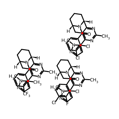 Cc1nc(-c2ccnn2C)c2c(n1)[C@H]1CCC[C@@H](C2)N1C(=O)c1ccc(Cl)c(F)c1Cl.Cc1nc(-c2ccnn2C)c2c(n1)[C@H]1CCC[C@@H](C2)N1C(=O)c1cccc(C(F)(F)F)c1C.Cc1nc(-c2ccnn2C)c2c(n1)[C@H]1CCC[C@@H](C2)N1C(=O)c1cccc(Cl)c1Cl